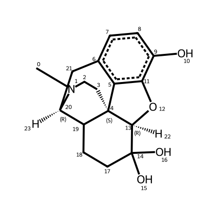 CN1CC[C@]23c4c5ccc(O)c4O[C@H]2C(O)(O)CCC3[C@H]1C5